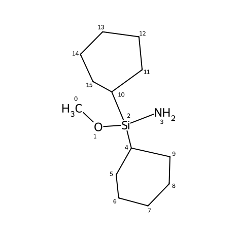 CO[Si](N)(C1CCCCC1)C1CCCCC1